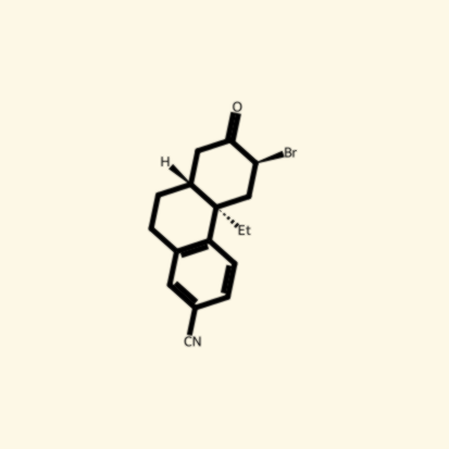 CC[C@@]12C[C@H](Br)C(=O)C[C@H]1CCc1cc(C#N)ccc12